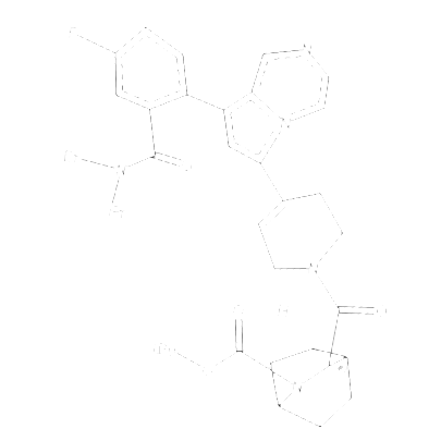 CCN(C(=O)c1cc(F)ccc1-c1cc(C2=CCN(C(=O)[C@H]3C4CCC(CC4)N3C(=O)OC(C)(C)C)CC2)n2ccncc12)C(C)C